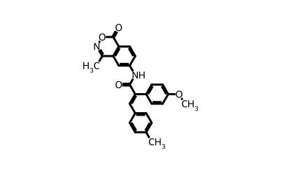 COc1ccc(/C(=C\c2ccc(C)cc2)C(=O)Nc2ccc3c(=O)onc(C)c3c2)cc1